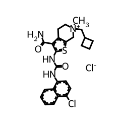 C[N+]1(CC2CCC2)CCc2c(sc(NC(=O)Nc3ccc(Cl)c4ccccc34)c2C(N)=O)C1.[Cl-]